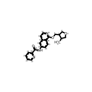 CC1COCC1COc1nccc2cc(NC(=O)c3ccccn3)ccc12